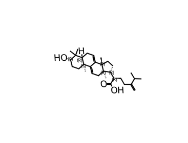 C=C(CC[C@@H](C(=O)O)[C@H]1CC[C@@]2(C)C3=CC[C@H]4C(C)(C)[C@@H](O)CC[C@]4(C)C3=CC[C@]12C)C(C)C